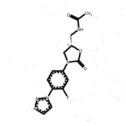 CC(=O)NC[C@H]1CN(c2ccc(-n3ccnn3)c(F)c2)C(=O)O1